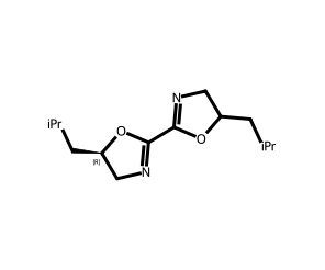 CC(C)CC1CN=C(C2=NC[C@@H](CC(C)C)O2)O1